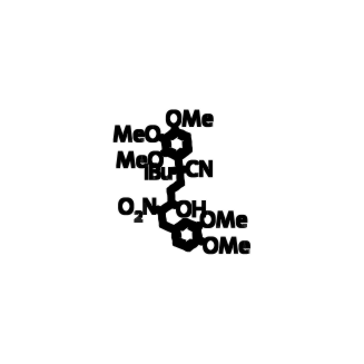 CCC(C)C(C#N)(CCC(O)C(Cc1ccc(OC)c(OC)c1)[N+](=O)[O-])c1ccc(OC)c(OC)c1OC